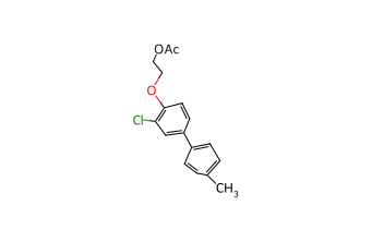 CC(=O)OCCOc1ccc(-c2ccc(C)cc2)cc1Cl